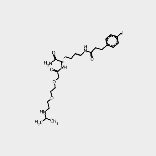 CC(C)NCCOCCOCC(=O)N[C@@H](CCCCNC(=O)CCc1ccc(I)cc1)C(N)=O